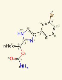 CCCCCC[C@H](OC(N)=O)c1nc(-c2cccc(Br)c2)c[nH]1